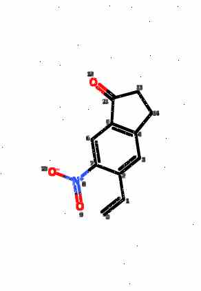 C=Cc1cc2c(cc1[N+](=O)[O-])C(=O)CC2